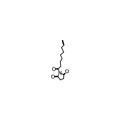 C=CCCCCCCC(=O)N1C(=O)CCC1=O